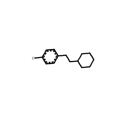 Clc1ccc(CCC2CCCCC2)cc1